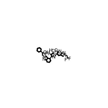 Cc1nc2nn(CC(F)F)cc2cc1-n1nc(-c2cccc3nn(C[C@H](O)c4ccccc4)cc23)c(C(C)C)c1C